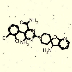 NC(=O)c1nc(N2CCC3(CC2)Oc2ncccc2[C@H]3N)nc(N)c1-c1cccc(Cl)c1Cl